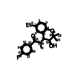 CCc1ccc2c(c1)C(N(C)C(=O)c1ccc(F)cc1)C(O)C(C)(C)O2